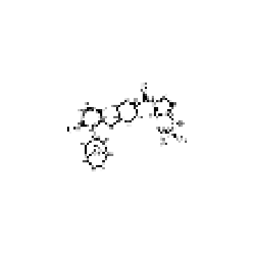 CS(=O)(=O)Nc1ccn(C(=O)N2CCN(Cc3cccc(Cl)c3N3CC4CCC(C3)O4)CC2)n1